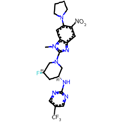 Cn1c(N2C[C@H](F)C[C@@H](Nc3ncc(C(F)(F)F)cn3)C2)nc2cc([N+](=O)[O-])c(N3CCCC3)cc21